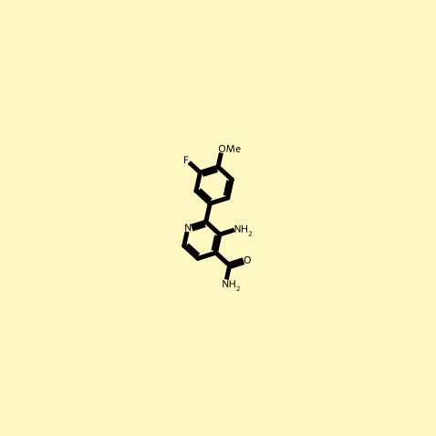 COc1ccc(-c2nccc(C(N)=O)c2N)cc1F